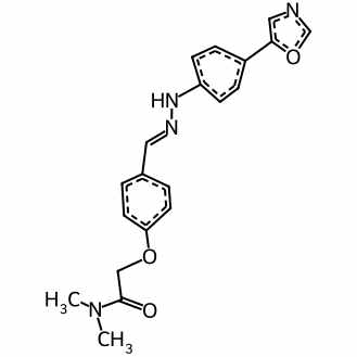 CN(C)C(=O)COc1ccc(/C=N/Nc2ccc(-c3cnco3)cc2)cc1